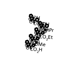 CCCOC(=O)CC(c1c(O)c2ccccc2oc1=O)C1CCCCC1.CCOC(=O)CC(c1c(O)c2ccccc2oc1=O)C1CCCC1.CCOC(=O)CC(c1c(O)c2ccccc2oc1=O)C1CCCCC1.COC(=O)CC(c1c(O)c2ccccc2oc1=O)C1CCCC1.O=C(O)CC(c1c(O)c2ccccc2oc1=O)C1CCCC1